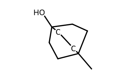 CC12CCC(O)(CC1)CC2